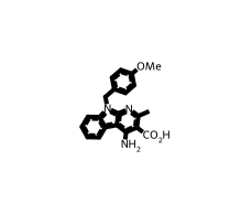 COc1ccc(Cn2c3ccccc3c3c(N)c(C(=O)O)c(C)nc32)cc1